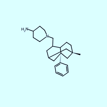 C[C@]12CCC3C(CN4CCC(N)CC4)CC(C1)C[C@]3(c1ccccc1)C2